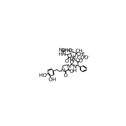 CC1(C)S[C@@H]2[C@H](NC=O)C(=O)N2[C@@]1(NC(=O)C(NC(=O)N1CCN(CCc2ccc(O)c(O)c2)C(=O)C1=O)c1ccccc1)C(=O)[O-].[Na+]